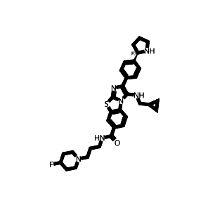 O=C(NCCCN1CCC(F)CC1)c1ccc2c(c1)sc1nc(-c3ccc([C@H]4CCCN4)cc3)c(NCC3CC3)n12